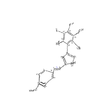 COc1ccc(/C=C/c2nc(-c3c(F)c(F)c(F)c(F)c3F)c[nH]2)cc1